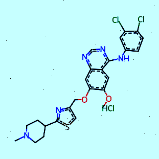 COc1cc2c(Nc3ccc(Cl)c(Cl)c3)ncnc2cc1OCc1csc(C2CCN(C)CC2)n1.Cl